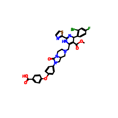 COC(=O)C1=C(CN2CCN3C(=O)N(c4ccc(Oc5ccc(C(=O)O)cc5)cc4)CC3C2)NC(c2nccs2)=NC1c1ccc(F)cc1Br